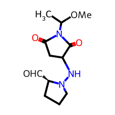 COC(C)N1C(=O)CC(NN2CCC[C@H]2C=O)C1=O